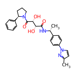 Cc1ccn(-c2ccc([C@@H](C)NC(=O)[C@H](O)[C@@H](O)C(=O)N3CCC[C@@H]3c3ccccc3)cc2)n1